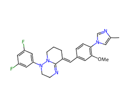 COc1cc(/C=C2\CCCN3C2=NCCN3c2cc(F)cc(F)c2)ccc1-n1cnc(C)c1